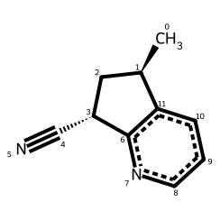 C[C@@H]1C[C@@H](C#N)c2ncccc21